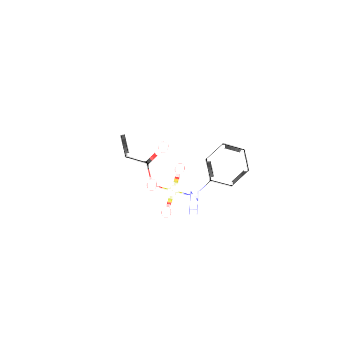 C=CC(=O)OS(=O)(=O)Nc1ccccc1